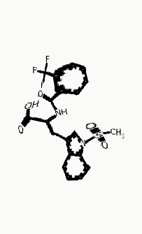 CS(=O)(=O)n1cc(CC(NC(=O)c2ccccc2C(F)(F)F)C(=O)O)c2ccccc21